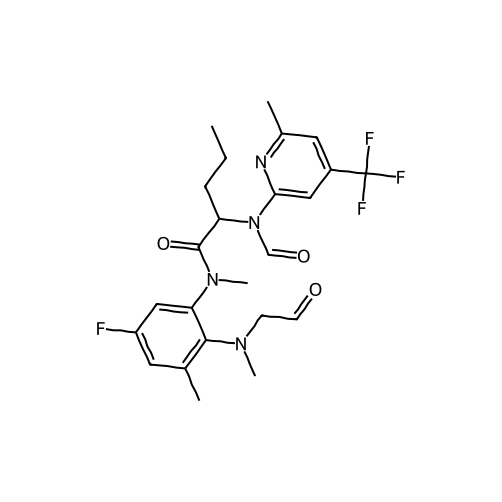 CCCC(C(=O)N(C)c1cc(F)cc(C)c1N(C)CC=O)N(C=O)c1cc(C(F)(F)F)cc(C)n1